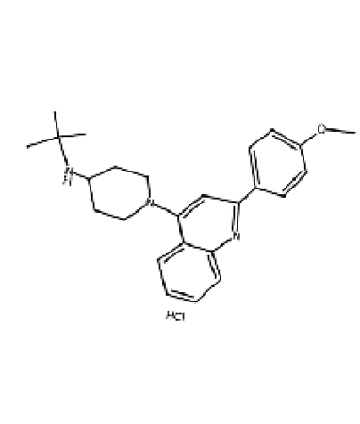 COc1ccc(-c2cc(N3CCC(NC(C)(C)C)CC3)c3ccccc3n2)cc1.Cl